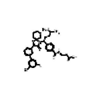 CC(C)CCC(c1ccc(C(=O)NCCC(=O)O)cc1)N1C(=O)C(c2cccc(-c3cc(Cl)cc(Cl)c3)c2)=NC12CCCCC2